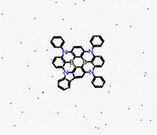 c1ccc(N2c3cccc4c3B3c5c2ccc2c5B5c6c(cccc6-n6c7ccccc7c7cc(c3c5c76)N4c3ccccc3)N2c2ccccc2)cc1